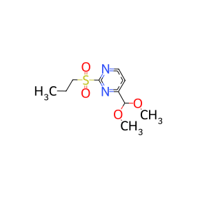 CCCS(=O)(=O)c1nccc(C(OC)OC)n1